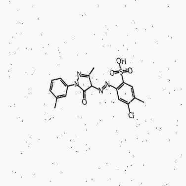 CC1=NN(c2cccc(C)c2)C(=O)C1/N=N/c1cc(Cl)c(C)cc1S(=O)(=O)O